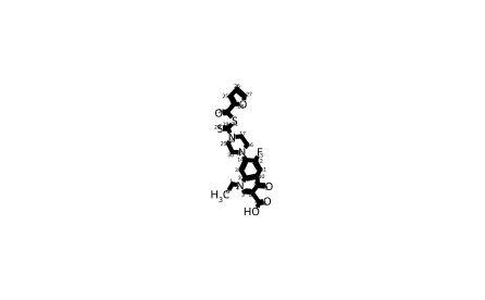 CCn1cc(C(=O)O)c(=O)c2cc(F)c(N3CCN(C(=S)SC(=O)c4ccco4)CC3)cc21